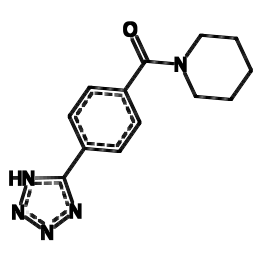 O=C(c1ccc(-c2nnn[nH]2)cc1)N1CCCCC1